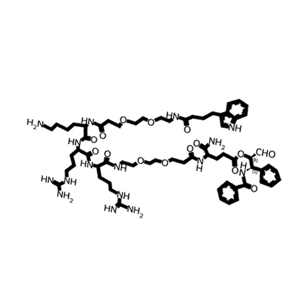 N=C(N)NCCCC(NC(=O)C(CCCNC(=N)N)NC(=O)C(CCCCN)NC(=O)CCOCCOCCNC(=O)CCCc1c[nH]c2ccccc12)C(=O)NCCOCCOCCC(=O)NC(CCC(=O)O[C@@H](C=O)[C@@H](NC(=O)c1ccccc1)c1ccccc1)C(N)=O